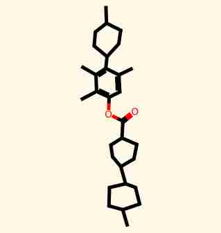 Cc1cc(OC(=O)C2CCC(C3CCC(C)CC3)CC2)c(C)c(C)c1C1CCC(C)CC1